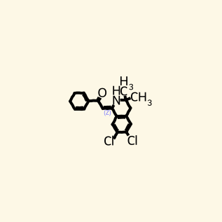 CC1(C)Cc2cc(Cl)c(Cl)cc2/C(=C/C(=O)C2=CCCC=C2)N1